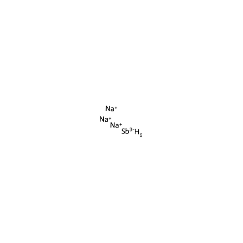 [Na+].[Na+].[Na+].[SbH6-3]